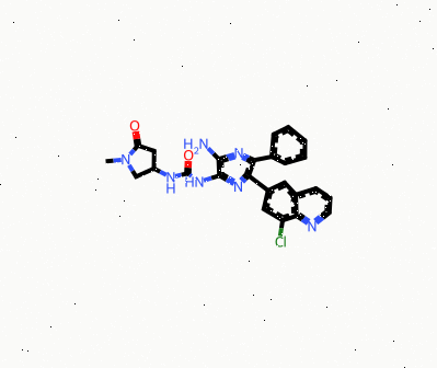 CN1CC(NC(=O)Nc2nc(-c3cc(Cl)c4ncccc4c3)c(-c3ccccc3)nc2N)CC1=O